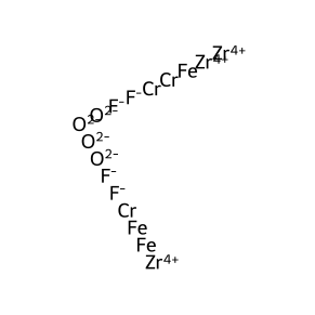 [Cr].[Cr].[Cr].[F-].[F-].[F-].[F-].[Fe].[Fe].[Fe].[O-2].[O-2].[O-2].[O-2].[Zr+4].[Zr+4].[Zr+4]